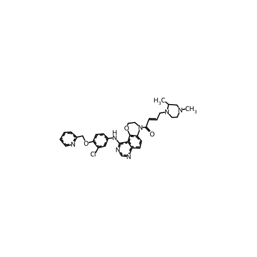 CC1CN(C)CCN1C/C=C/C(=O)N1CCOc2c1ccc1ncnc(Nc3ccc(OCc4ccccn4)c(Cl)c3)c21